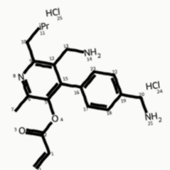 C=CC(=O)Oc1c(C)nc(CC(C)C)c(CN)c1-c1ccc(CN)cc1.Cl.Cl